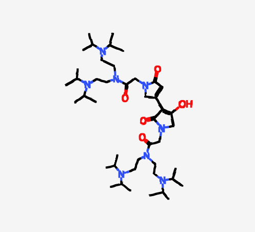 CC(C)N(CCN(CCN(C(C)C)C(C)C)C(=O)CN1CC(C2=C(O)CN(CC(=O)N(CCN(C(C)C)C(C)C)CCN(C(C)C)C(C)C)C2=O)=CC1=O)C(C)C